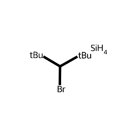 CC(C)(C)C(Br)C(C)(C)C.[SiH4]